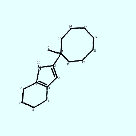 CC1(C2=CC3=C(CCCC3)[N]2)CCCCCCC1